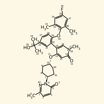 Cc1ccc(=O)n([C@H]2CC[C@H](Oc3cc(=O)n(C)cc3-c3cc(C(C)(C)O)ccc3Oc3c(C)cc(F)cc3C)CC2)n1